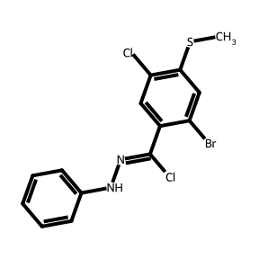 CSc1cc(Br)c(C(Cl)=NNc2ccccc2)cc1Cl